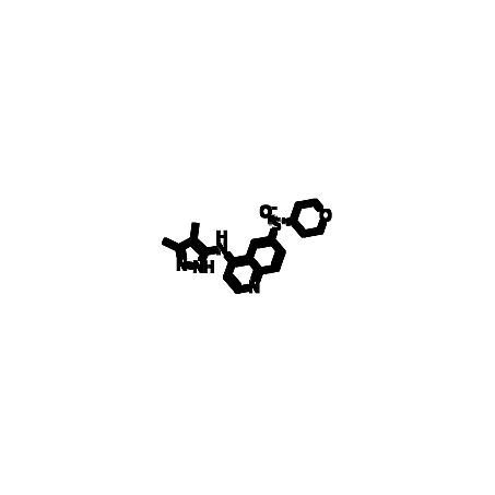 Cc1n[nH]c(Nc2ccnc3ccc([S@@+]([O-])C4CCOCC4)cc23)c1C